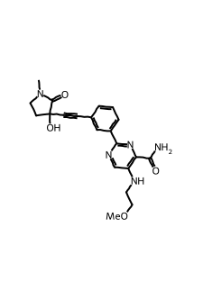 COCCNc1cnc(-c2cccc(C#CC3(O)CCN(C)C3=O)c2)nc1C(N)=O